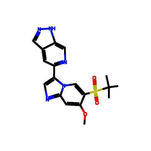 COc1cc2ncc(-c3cc4cn[nH]c4cn3)n2cc1S(=O)(=O)C(C)(C)C